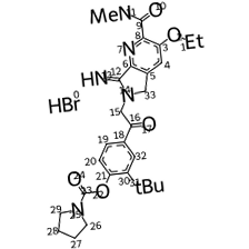 Br.CCOc1cc2c(nc1C(=O)NC)C(=N)N(CC(=O)c1ccc(OC(=O)N3CCCC3)c(C(C)(C)C)c1)C2